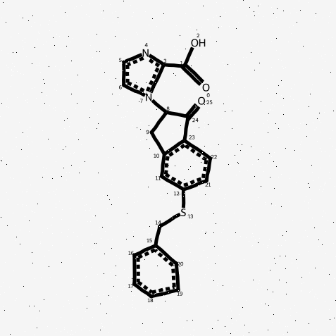 O=C(O)c1nccn1C1Cc2cc(SCc3ccccc3)ccc2C1=O